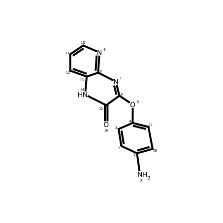 Nc1ccc(Oc2nc3ncccc3[nH]c2=O)cc1